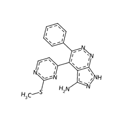 CSc1nccc(-c2c(-c3ccccc3)nnc3[nH]nc(N)c23)n1